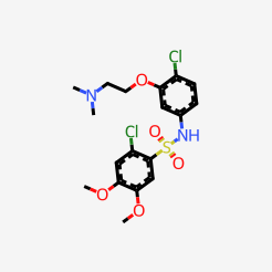 COc1cc(Cl)c(S(=O)(=O)Nc2ccc(Cl)c(OCCN(C)C)c2)cc1OC